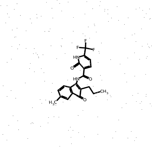 CCCC1=C(NC(=O)c2ccc(C(F)(F)F)[nH]c2=O)c2ccc(C)cc2C1=O